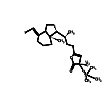 C[C@H](CCC1=C[C@](C)(O[Si](C)(C)C)C(=O)O1)[C@H]1CCC2C(=CI)CCC[C@@]21C